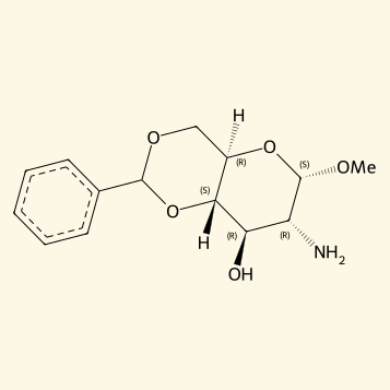 CO[C@H]1O[C@@H]2COC(c3ccccc3)O[C@H]2[C@H](O)[C@H]1N